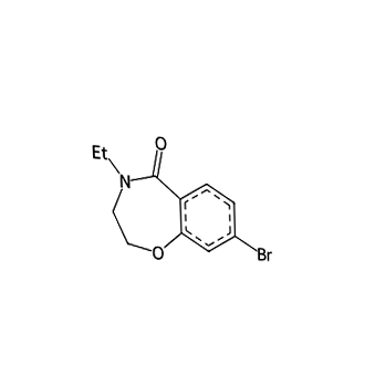 CCN1CCOc2cc(Br)ccc2C1=O